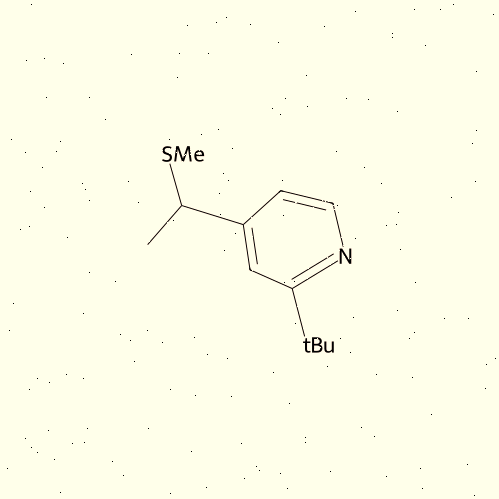 CSC(C)c1ccnc(C(C)(C)C)c1